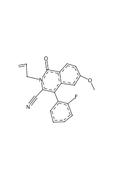 C=CCn1c(C#N)c(-c2ccccc2F)c2cc(OC)ccc2c1=O